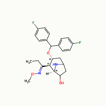 CCC(=NOC)[C@H]1[C@H](OC(c2ccc(F)cc2)c2ccc(F)cc2)CC2CC(O)[C@@H]1N2